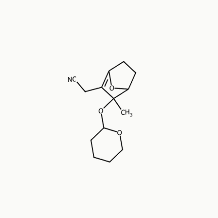 CC1(OC2CCCCO2)C(CC#N)=C2CCC1O2